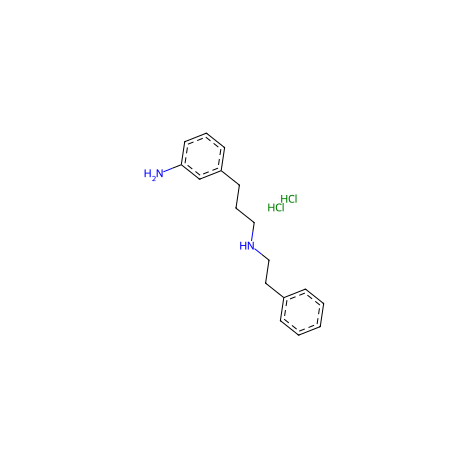 Cl.Cl.Nc1cccc(CCCNCCc2ccccc2)c1